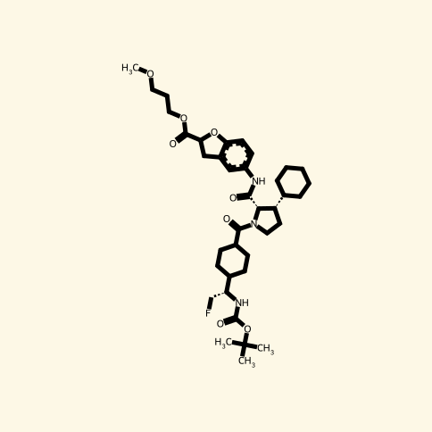 COCCCOC(=O)C1Cc2cc(NC(=O)[C@@H]3[C@H](C4CCCCC4)CCN3C(=O)C3CCC([C@@H](CF)NC(=O)OC(C)(C)C)CC3)ccc2O1